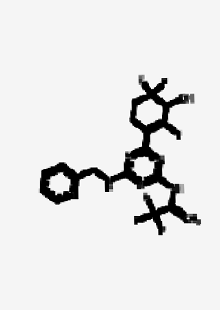 C=C(Nc1nc(NCc2ccccn2)nc(C2=C(F)C(O)C(F)(F)CC2)n1)C(F)(F)F